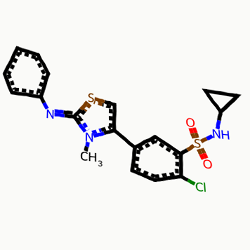 Cn1c(-c2ccc(Cl)c(S(=O)(=O)NC3CC3)c2)csc1=Nc1ccccc1